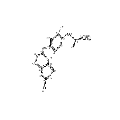 CC(C=O)Oc1ccc(Oc2cnc3cc(Cl)ccc3n2)cc1F